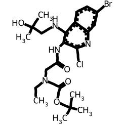 CCN(CC(=O)Nc1c(Cl)nc2cc(Br)ccc2c1NCC(C)(C)O)C(=O)OC(C)(C)C